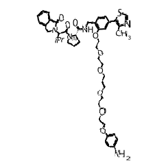 Cc1ncsc1-c1ccc(CNC(=O)[C@@H]2CCCN2C(=O)C(C(C)C)N2Cc3ccccc3C2=O)c(OCCOCCOCCCOCCOCCOc2ccc(N)cc2)c1